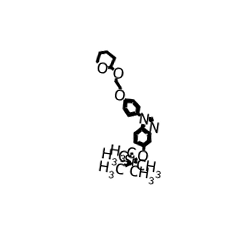 CC(C)(C)[Si](C)(C)Oc1ccc2c(c1)ncn2-c1ccc(OCCOC2CCCCO2)cc1